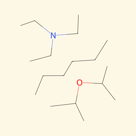 CC(C)OC(C)C.CCCCCC.CCN(CC)CC